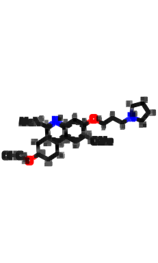 CNc1nc2cc(OCCCN3CCCC3)c(OC)cc2c2c1CC(OC=O)CC2